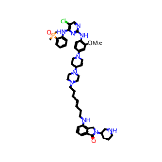 COc1cc(N2CCC(N3CCN(CCCCCCCNc4cccc5c4CN(C4CCCNC4)C5=O)CC3)CC2)ccc1Nc1ncc(Cl)c(Nc2ccccc2P(C)(C)=O)n1